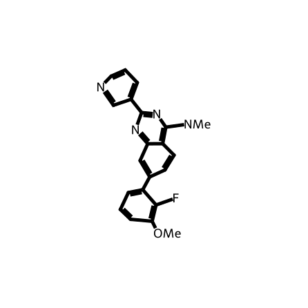 CNc1nc(-c2cccnc2)nc2cc(-c3cccc(OC)c3F)ccc12